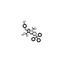 CCOC(=O)c1c(C=C2CN(C(c3ccccc3)(c3ccccc3)c3ccccc3)CCC2SC(C)=O)nnn1Cc1ccc(OC)cc1